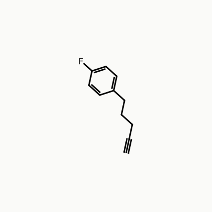 [C]#CCCCc1ccc(F)cc1